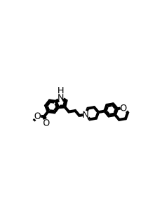 COC(=O)c1ccc2[nH]cc(CCCN3CCC(c4ccc5c(c4)CCCO5)CC3)c2c1